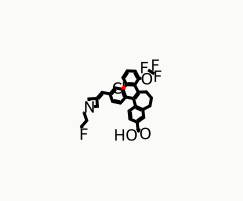 O=C(O)c1ccc2c(c1)CCCC(c1c(Cl)cccc1OC(F)(F)F)=C2c1ccc(C=C2CN(CCCF)C2)cc1